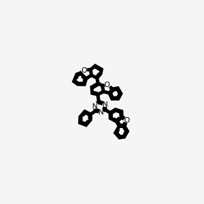 C1=CC2Oc3ccccc3C2C(C2=CC=C(c3nc(-c4ccccc4)nc(-c4ccc5oc6ccccc6c5c4)n3)C3c4ccccc4OC23)=C1